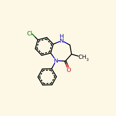 CC1CNc2cc(Cl)ccc2N(c2ccccc2)C1=O